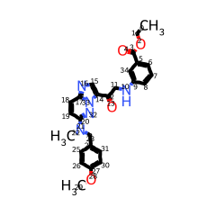 CCOC(=O)c1cccc(NCC(=O)c2cnc3ccc(N(C)Cc4ccc(OC)cc4)nn23)c1